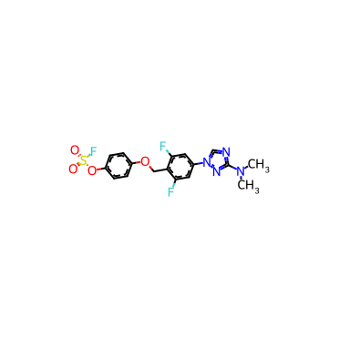 CN(C)c1ncn(-c2cc(F)c(COc3ccc(OS(=O)(=O)F)cc3)c(F)c2)n1